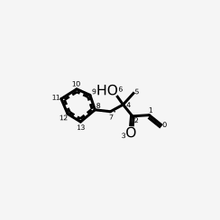 C=CC(=O)C(C)(O)[CH]c1ccccc1